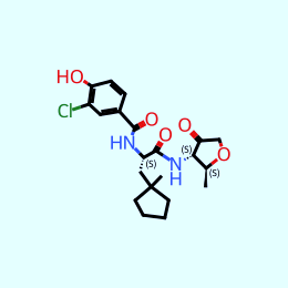 C[C@@H]1OCC(=O)[C@H]1NC(=O)[C@H](CC1(C)CCCC1)NC(=O)c1ccc(O)c(Cl)c1